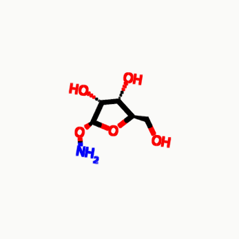 NO[C@@H]1O[C@H](CO)[C@@H](O)[C@H]1O